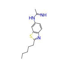 CCCCCc1nc2ccc(NC(C)=N)cc2s1